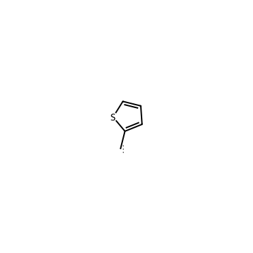 [C]c1cccs1